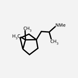 CNC(C)CC12CCC(CC1)C2(C)C